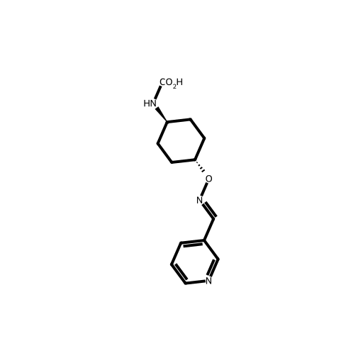 O=C(O)N[C@H]1CC[C@H](ON=Cc2cccnc2)CC1